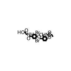 CCS(=O)(=O)Nc1cccc(COc2c(Br)cc(C(=O)NCC(=O)O)cc2Br)c1Cl